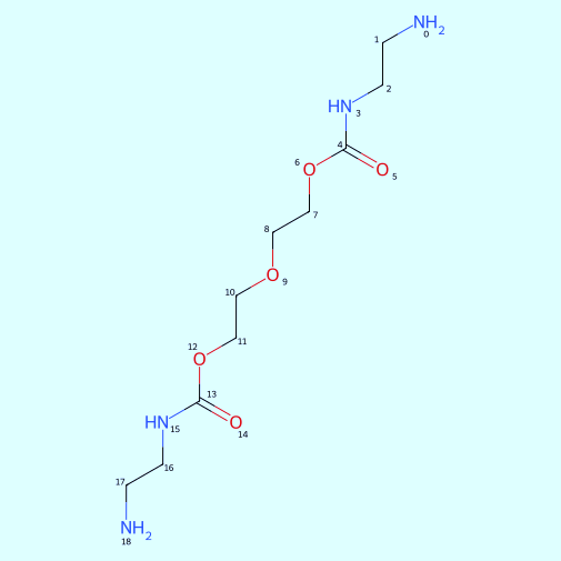 NCCNC(=O)OCCOCCOC(=O)NCCN